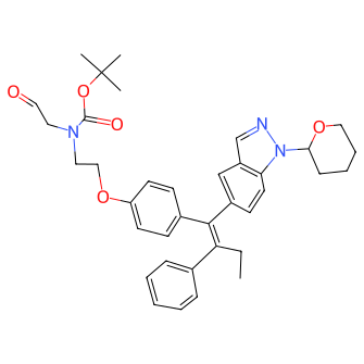 CC/C(=C(/c1ccc(OCCN(CC=O)C(=O)OC(C)(C)C)cc1)c1ccc2c(cnn2C2CCCCO2)c1)c1ccccc1